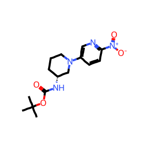 CC(C)(C)OC(=O)N[C@@H]1CCCN(c2ccc([N+](=O)[O-])nc2)C1